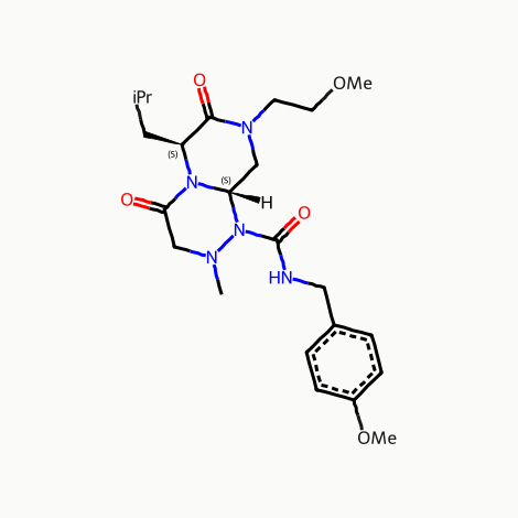 COCCN1C[C@H]2N(C(=O)CN(C)N2C(=O)NCc2ccc(OC)cc2)[C@@H](CC(C)C)C1=O